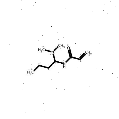 C=CC(=O)NC(CCC)N(C)C